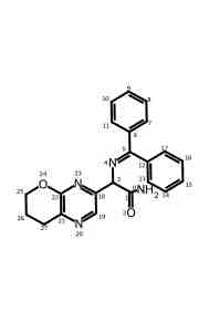 NC(=O)C(N=C(c1ccccc1)c1ccccc1)c1cnc2c(n1)OCCC2